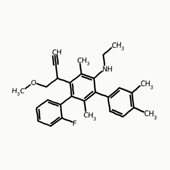 C#CC(COC)c1c(C)c(NCC)c(-c2ccc(C)c(C)c2)c(C)c1-c1ccccc1F